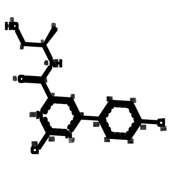 C[C@H](CO)NC(=O)c1cc(-c2ccc(Cl)cc2)nc(Cl)n1